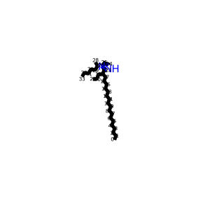 CCCCCCCCCCCCCCCCCCC(CCC)c1[nH]cc[n+]1C(C)CCCCC